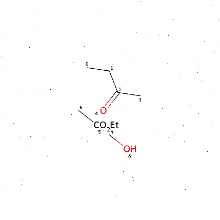 CCC(C)=O.CCOC(C)=O.CO